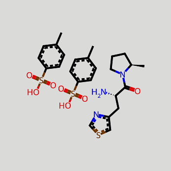 C[C@@H]1CCCN1C(=O)[C@@H](N)Cc1cscn1.Cc1ccc(S(=O)(=O)O)cc1.Cc1ccc(S(=O)(=O)O)cc1